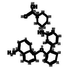 Nc1cccc2c(Oc3ncccc3-c3ccnc(N[C@H]4CCCN(C(=O)O)C4)n3)cccc12